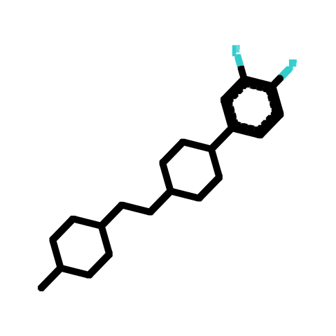 CC1CCC(CCC2CCC(c3ccc(F)c(F)c3)CC2)CC1